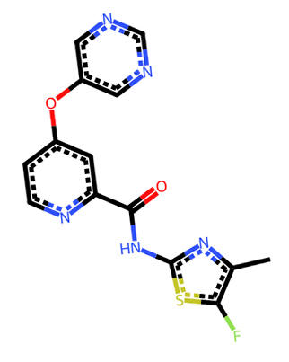 Cc1nc(NC(=O)c2cc(Oc3cncnc3)ccn2)sc1F